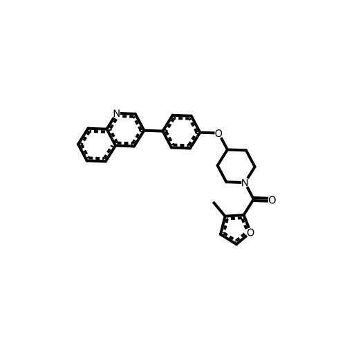 Cc1ccoc1C(=O)N1CCC(Oc2ccc(-c3cnc4ccccc4c3)cc2)CC1